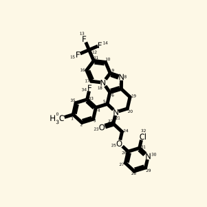 Cc1ccc(C2c3c(nc4cc(C(F)(F)F)ccn34)CCN2C(=O)COc2cccnc2Cl)c(F)c1